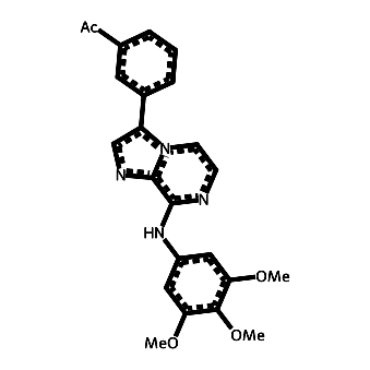 COc1cc(Nc2nccn3c(-c4cccc(C(C)=O)c4)cnc23)cc(OC)c1OC